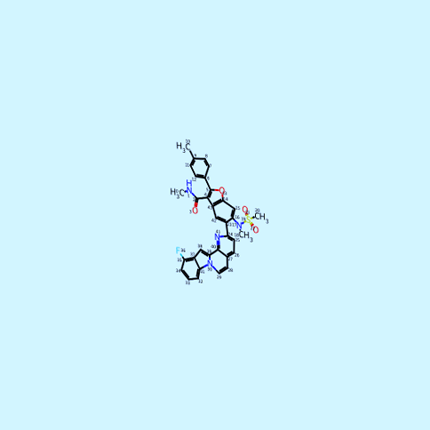 CNC(=O)c1c(-c2ccc(C)cc2)oc2cc(N(C)S(C)(=O)=O)c(-c3ccc4ccn5c6cccc(F)c6cc5c4n3)cc12